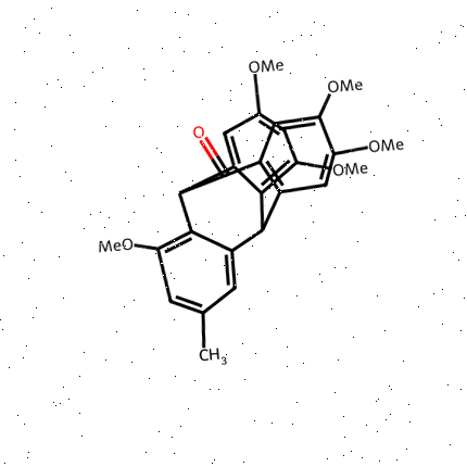 COc1cc(OC)c2c(c1)C1C(=O)c3cc(OC)c(OC)cc3C2c2cc(C)cc(OC)c21